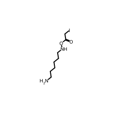 NCCCCCCNOC(=O)CI